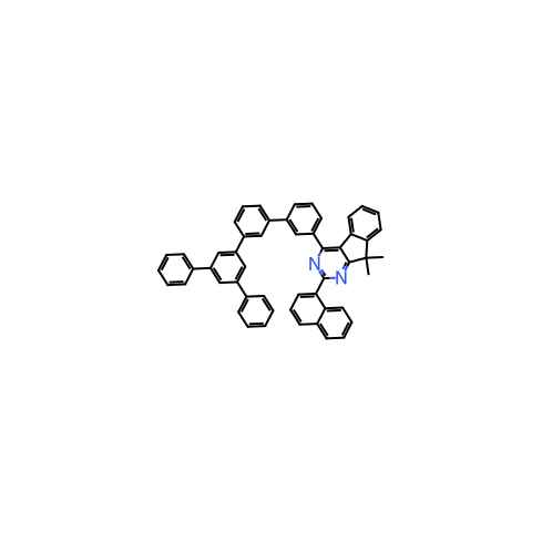 CC1(C)c2ccccc2-c2c(-c3cccc(-c4cccc(-c5cc(-c6ccccc6)cc(-c6ccccc6)c5)c4)c3)nc(-c3cccc4ccccc34)nc21